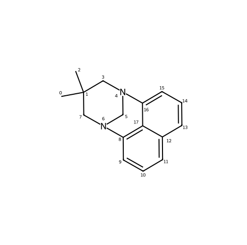 CC1(C)CN2CN(C1)c1cccc3cccc2c13